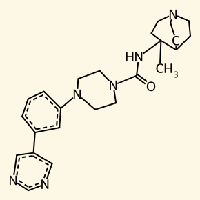 CC1(NC(=O)N2CCN(c3cccc(-c4cncnc4)c3)CC2)CCN2CCC1CC2